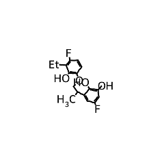 CCc1c(F)ccc(OCC(C)c2cc(F)cc(O)c2O)c1O